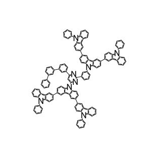 c1ccc(-c2cccc(-c3cccc(-c4cc(-n5c6ccc(-c7ccc8c(c7)c7ccccc7n8-c7ccccc7)cc6c6cc(-c7ccc8c(c7)c7ccccc7n8-c7ccccc7)ccc65)nc(-c5cccc(-n6c7ccc(-c8ccc9c(c8)c8ccccc8n9-c8ccccc8)cc7c7cc(-c8ccc9c(c8)c8ccccc8n9-c8ccccc8)ccc76)c5)n4)c3)c2)cc1